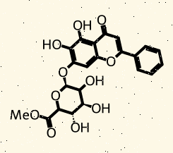 COC(=O)C1O[C@@H](Oc2cc3oc(-c4ccccc4)cc(=O)c3c(O)c2O)C(O)[C@@H](O)[C@@H]1O